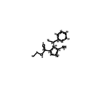 CCOC(=O)c1cnc(S)n1C(C)c1ccccc1